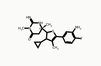 CC1=C(c2ccc(F)c(N)c2)SC([C@]2(C)CC(=O)N(C)C(=N)N2)C1C1CC1